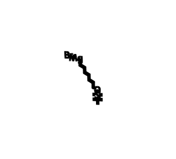 CC(C)(C)[Si](C)(C)OCCCCCCC[CH2][Mg][Br]